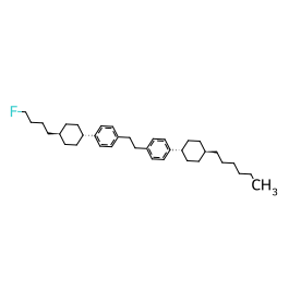 CCCCCC[C@H]1CC[C@H](c2ccc(CCc3ccc([C@H]4CC[C@H](CCCCF)CC4)cc3)cc2)CC1